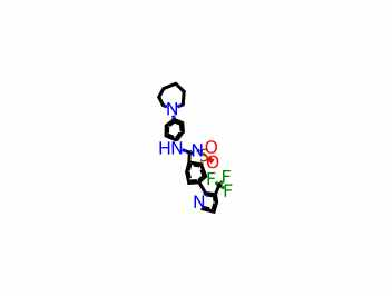 O=S1(=O)N=C(Nc2ccc(N3CCCCCC3)cc2)c2ccc(-c3ncccc3C(F)(F)F)cc21